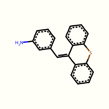 Nc1cccc(C=C2c3ccccc3Sc3ccccc32)c1